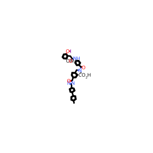 COc1cccc(OI)c1CC(=O)Nc1ccc(C(=O)N(CC(=O)O)Cc2ccc(-c3nc(-c4ccc(-c5ccc(C)cc5)cc4)no3)cc2)cc1